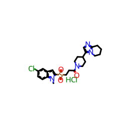 Cl.Cn1c(S(=O)(=O)CCC(=O)N2CCC(c3cnc4n3CCCC4)CC2)cc2cc(Cl)ccc21